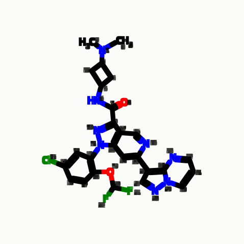 CN(C)C1CC(NC(=O)c2nn(-c3cc(Cl)ccc3OC(F)F)c3cc(-c4cnn5cccnc45)ncc23)C1